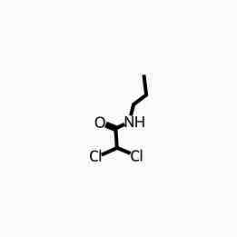 CCCNC(=O)C(Cl)Cl